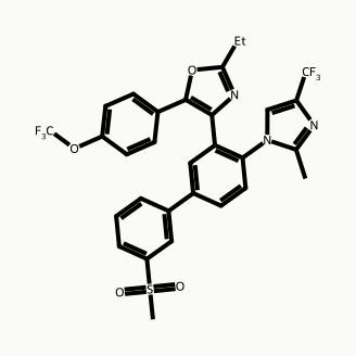 CCc1nc(-c2cc(-c3cccc(S(C)(=O)=O)c3)ccc2-n2cc(C(F)(F)F)nc2C)c(-c2ccc(OC(F)(F)F)cc2)o1